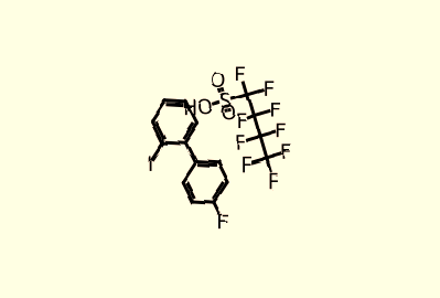 Fc1ccc(-c2ccccc2I)cc1.O=S(=O)(O)C(F)(F)C(F)(F)C(F)(F)C(F)(F)F